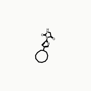 O=C1CNC(=O)N1c1ccc(C2CCCCCCCCCC2)cn1